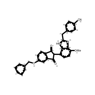 COc1ccc(C2C(=O)c3ccc(OCc4ccccc4)cc3C2=O)c2[nH]c(Cc3ccc(C#N)cc3)nc12